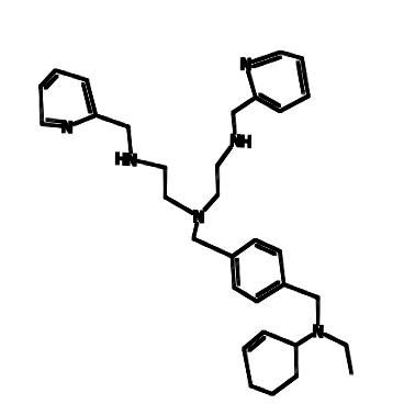 CCN(Cc1ccc(CN(CCNCc2ccccn2)CCNCc2ccccn2)cc1)C1C=CCCC1